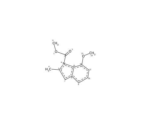 COC(=O)n1c(C)cc2cccc(OC)c21